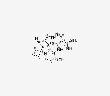 CC1CCN(C2(CC#N)COC2)CC1Nc1c(C(=N)N)cnn2cccc12